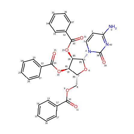 Nc1ccn([C@@H]2O[C@H](COC(=O)c3ccccc3)[C@@H](OC(=O)c3ccccc3)[C@H]2OC(=O)c2ccccc2)c(=O)n1